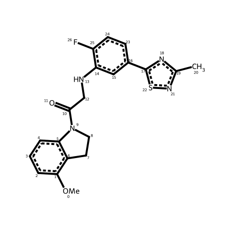 COc1cccc2c1CCN2C(=O)CNc1cc(-c2nc(C)ns2)ccc1F